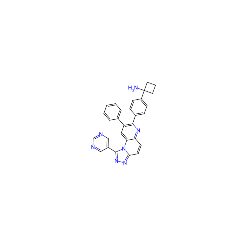 NC1(c2ccc(-c3nc4ccc5nnc(-c6cncnc6)n5c4cc3-c3ccccc3)cc2)CCC1